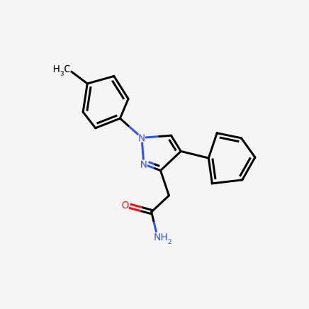 Cc1ccc(-n2cc(-c3ccccc3)c(CC(N)=O)n2)cc1